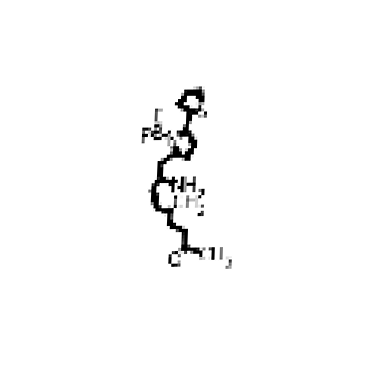 C=C(/C=C\C(N)=C\c1ccc(-c2cccs2)n1B(F)F)CCC(C)=O